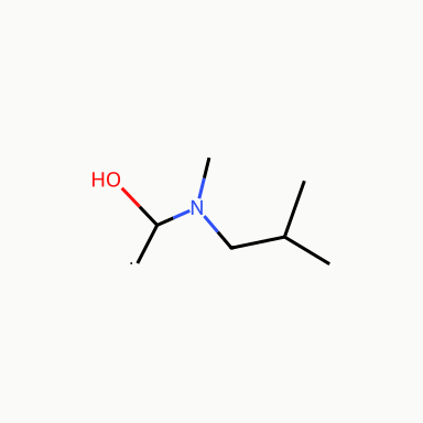 [CH2]C(O)N(C)CC(C)C